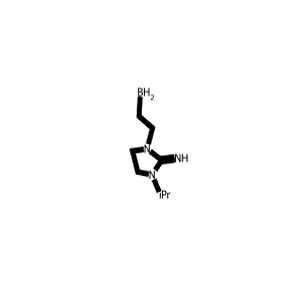 BCCN1CCN(C(C)C)C1=N